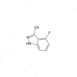 N#Cc1n[nH]c2cccc(F)c12